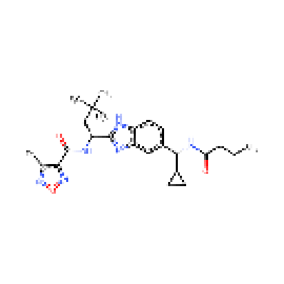 CCc1nonc1C(=O)N[C@@H](CC(C)(C)C(F)(F)F)c1nc2cc([C@H](NC(=O)CCC(F)(F)F)C3CC3)ccc2[nH]1